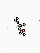 C1=C(c2ccccc2)N=C(c2cccc(-c3c4ccccc4c(-c4ccccc4)c4ccccc34)c2)NC1c1ccc(-c2cccc3ccccc23)cc1